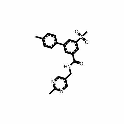 Cc1ccc(-c2cc(C(=O)NCc3cnc(C)nc3)cc(S(C)(=O)=O)c2)cc1